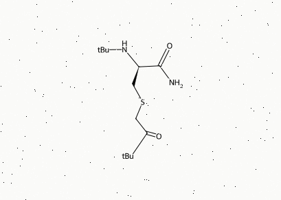 CC(C)(C)N[C@H](CSCC(=O)C(C)(C)C)C(N)=O